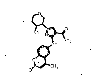 CC1=CB(O)Oc2ccc(Nc3nn(C4COCCC4C#N)cc3C(N)=O)cc21